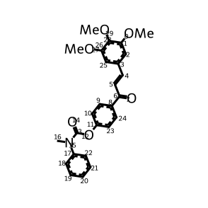 COc1cc(/C=C/C(=O)c2ccc(OC(=O)N(C)c3ccccc3)cc2)cc(OC)c1OC